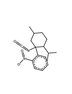 CC1CCC(C(C)C)C(N=C=O)(c2ccccc2[N+](=O)[O-])C1